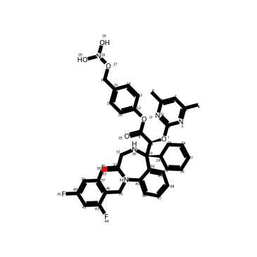 Cc1cc(C)nc(O[C@H](C(=O)Oc2ccc(CON(O)O)cc2)[C@@]2(C3C=CC=CC3)NCC(=O)N(Cc3c(F)cc(F)cc3F)c3ccccc32)n1